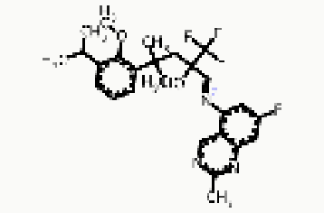 COc1c(C(C)C)cccc1C(C)(C)CC(O)(/C=N/c1cc(F)cc2nc(C)ncc12)C(F)(F)F